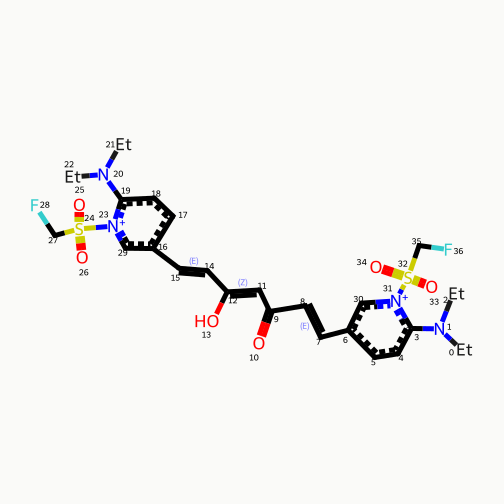 CCN(CC)c1ccc(/C=C/C(=O)/C=C(O)/C=C/c2ccc(N(CC)CC)[n+](S(=O)(=O)CF)c2)c[n+]1S(=O)(=O)CF